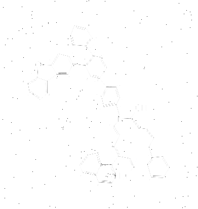 C\C=C/C(=C\C=C\N(/C(C)=C/C=C\Cc1ccccc1)c1ccc(-c2ccc(-c3ccccc3)c(-c3ccc4oc5ccccc5c4c3)c2)cc1)c1cccc2ccccc12